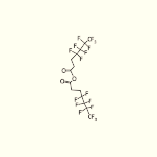 O=C(CCC(F)(F)C(F)(F)C(F)(F)C(F)(F)F)OC(=O)CCC(F)(F)C(F)(F)C(F)(F)C(F)(F)F